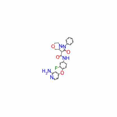 Nc1cc(Oc2ccc(NC(=O)c3c4n(n(-c5ccccc5)c3=O)CCOC4)cc2F)ccn1